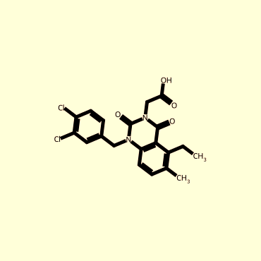 CCc1c(C)ccc2c1c(=O)n(CC(=O)O)c(=O)n2Cc1ccc(Cl)c(Cl)c1